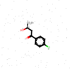 CCOC(=O)[C@H](O)CC(=O)c1ccc(Cl)cc1